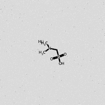 CN(C)CS(=O)(=O)O.[LiH]